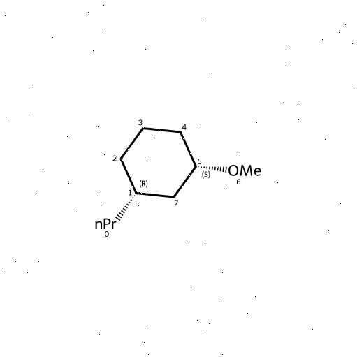 CCC[C@@H]1CCC[C@H](OC)C1